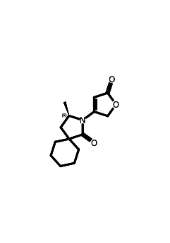 C[C@@H]1CC2(CCCCC2)C(=O)N1C1=CC(=O)OC1